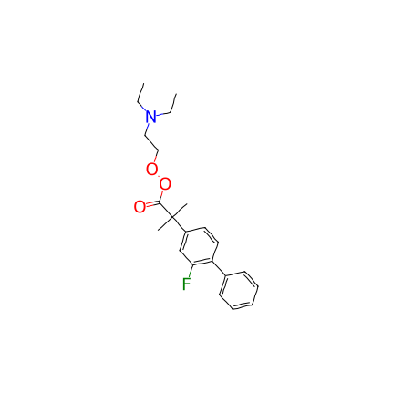 CCN(CC)CCOOC(=O)C(C)(C)c1ccc(-c2ccccc2)c(F)c1